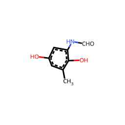 Cc1cc(O)cc(NC=O)c1O